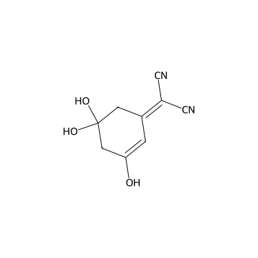 N#CC(C#N)=C1C=C(O)CC(O)(O)C1